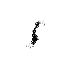 C=CC(=O)OCCCc1ccc(-c2ccc3c(c2)oc2c(C(F)(F)F)c(OC(=O)C=C)ccc23)cc1